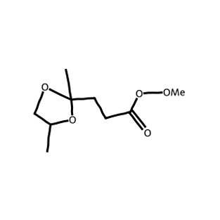 COOC(=O)CCC1(C)OCC(C)O1